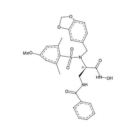 COc1cc(C)c(S(=O)(=O)N(Cc2ccc3c(c2)OCO3)[C@H](CNC(=O)c2ccccc2)C(=O)NO)c(C)c1